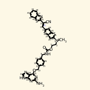 CN(CCOC(=O)NCc1ccc(COc2nc(N)nc3[nH]cnc23)cc1)c1cc2sc(/C=C(\C#N)c3nc4ccccc4s3)cc2s1